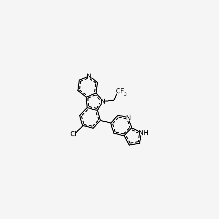 FC(F)(F)Cn1c2cnccc2c2cc(Cl)cc(-c3cnc4[nH]ccc4c3)c21